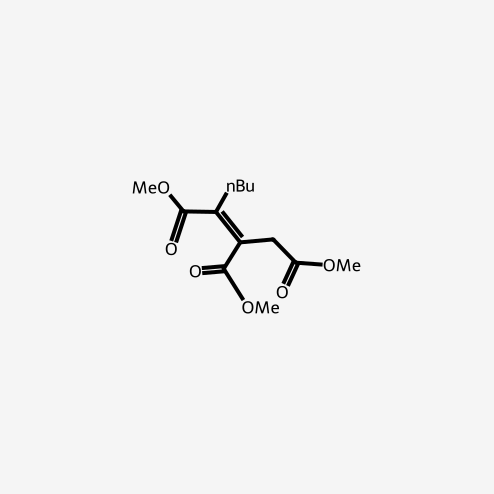 CCCC/C(C(=O)OC)=C(\CC(=O)OC)C(=O)OC